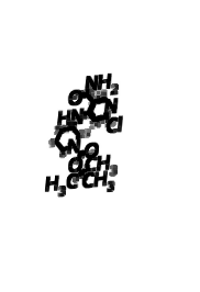 CC(C)(C)OC(=O)N1CCC[C@H](Nc2cc(Cl)ncc2C(N)=O)C1